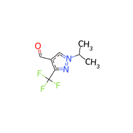 CC(C)n1cc(C=O)c(C(F)(F)F)n1